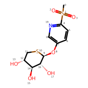 CS(=O)(=O)c1ccc(O[C@@H]2SC[C@@H](O)[C@H](O)[C@H]2O)cn1